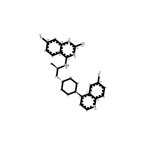 C[C@H](C[C@H]1CC[C@H](c2ccnc3ccc(F)cc32)CC1)Nc1nc(Cl)nc2cc(F)ccc12